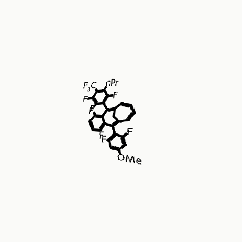 CCCc1c(F)c(C2=C3C=CC=CC(=C(c4c(F)cc(OC)cc4F)c4c(F)ccc(F)c42)C3)c(F)c(F)c1C(F)(F)F